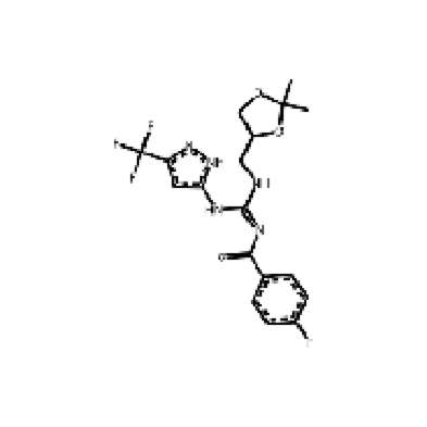 CC1(C)OCC(CN/C(=N/C(=O)c2ccc(F)cc2)Nc2cc(C(F)(F)F)n[nH]2)O1